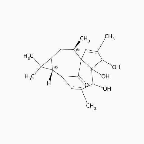 CC1=CC2C(=O)C3(C=C(C)C(O)C3(O)C1O)[C@H](C)CC1[C@H]2C1(C)C